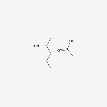 CC(=O)O.CCCC(C)N